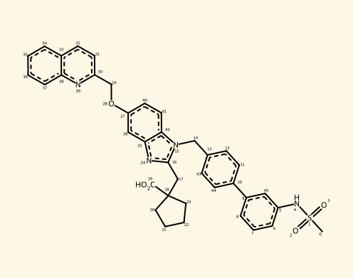 CS(=O)(=O)Nc1cccc(-c2ccc(Cn3c(CC4(C(=O)O)CCCC4)nc4cc(OCc5ccc6ccccc6n5)ccc43)cc2)c1